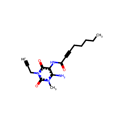 C#CCn1c(=O)c(NC(=O)C#CCCCCC)c(N)n(C)c1=O